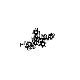 CC(C)CC(NC(=O)[C@H](Cc1ccccc1)NC(=O)C(Cc1ccncc1)NC(=O)c1cc(CN2CCOCC2)on1)C(=O)C1(C)CO1